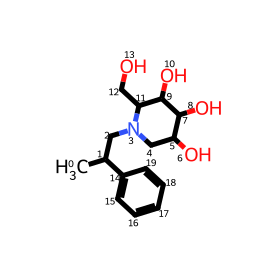 CC(CN1CC(O)C(O)C(O)C1CO)c1ccccc1